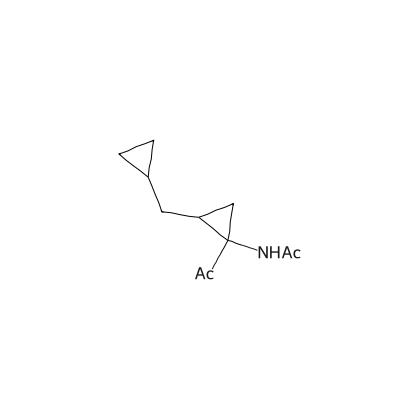 CC(=O)NC1(C(C)=O)CC1CC1CC1